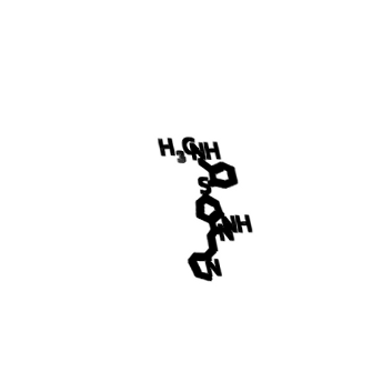 CNCc1ccccc1Sc1ccc2c(/C=C/c3ccccn3)n[nH]c2c1